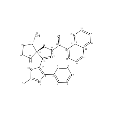 Cc1nc(-c2ccccc2)c(C(=O)[C@]2(CNC(=O)c3cccc4cccnc34)NCC[C@@H]2O)s1